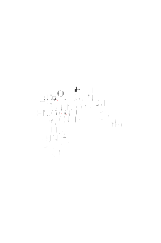 CC(C)C[C@H](NC(=O)[C@@H](N)Cc1ccc(OC(C)(C)C)cc1)C(=O)N[C@@H](CCC(=O)OC(C)(C)C)C(=O)NCC(=O)N[C@@H](CCC(=O)NC(c1ccccc1)(c1ccccc1)c1ccccc1)C(=O)N[C@@H](C)C(=O)N[C@@H](C)C(=O)N[C@@H](CCCCN)C(=O)O